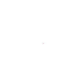 C=CO[C@H]1CCCC[C@@H]1c1ccccc1